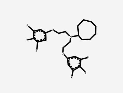 Fc1cc(OCCN(CCOc2cc(F)c(F)c(F)c2)C2CCCCCCC2)cc(F)c1F